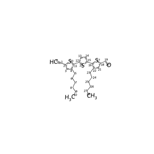 C#Cc1cc(CCCCCC)c(-c2ccc(-c3sc(C=O)cc3CCCCCC)s2)s1